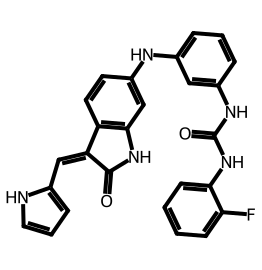 O=C(Nc1cccc(Nc2ccc3c(c2)NC(=O)C3=Cc2ccc[nH]2)c1)Nc1ccccc1F